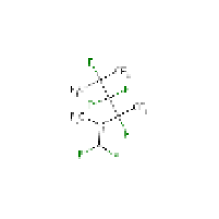 FC(F)=C(C(F)(F)F)C(F)(C(F)(F)F)C(F)(F)C(F)(C(F)(F)F)C(F)(F)F